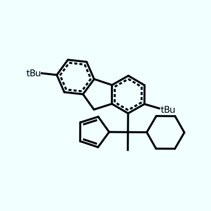 CC(C)(C)c1ccc2c(c1)Cc1c-2ccc(C(C)(C)C)c1C(C)(C1C=CC=C1)C1CCCCC1